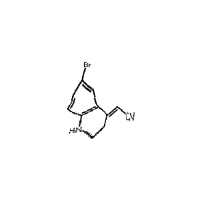 N#CC=C1CCNc2ccc(Br)cc21